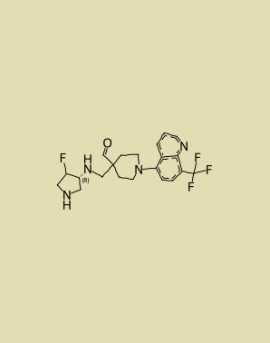 O=CC1(CN[C@@H]2CNCC2F)CCN(c2ccc(C(F)(F)F)c3ncccc23)CC1